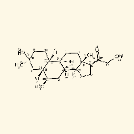 C[C@@H]1C[C@@H]2[C@H](CC[C@]3(C)[C@@H](C(=O)CO)CC[C@@H]23)[C@H]2CC[C@](C)(O)C[C@H]21